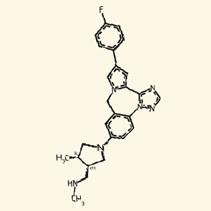 CNC[C@@H]1CN(c2ccc3c(c2)Cn2cc(-c4ccc(F)cc4)cc2-c2ncnn2-3)C[C@@H]1C